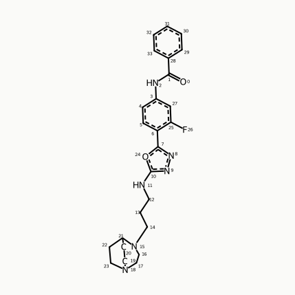 O=C(Nc1ccc(-c2nnc(NCCCN3CCN4CCC3CC4)o2)c(F)c1)c1ccccc1